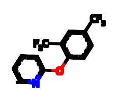 FC(F)(F)c1ccc(Oc2ccc[c]n2)c(C(F)(F)F)c1